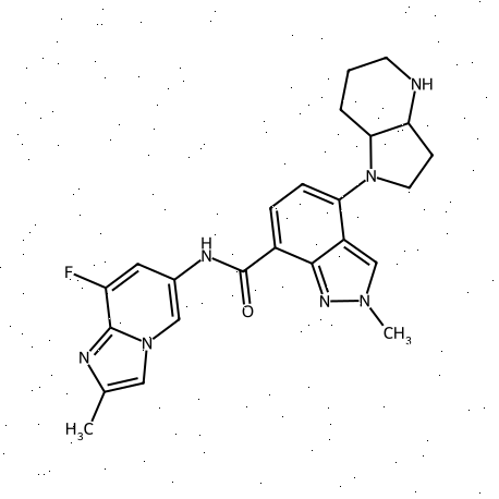 Cc1cn2cc(NC(=O)c3ccc(N4CCC5NCCCC54)c4cn(C)nc34)cc(F)c2n1